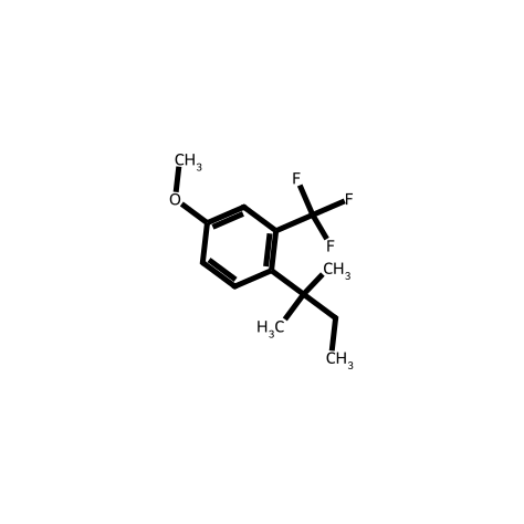 CCC(C)(C)c1ccc(OC)cc1C(F)(F)F